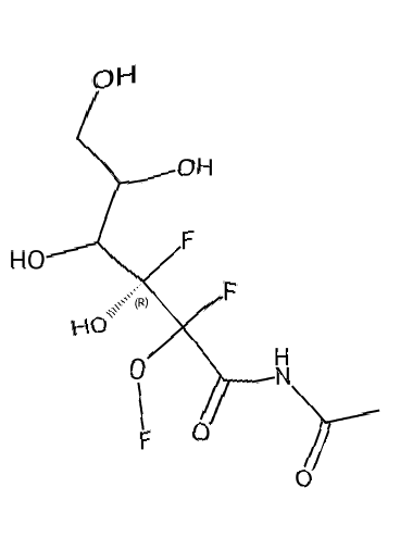 CC(=O)NC(=O)C(F)(OF)[C@](O)(F)C(O)C(O)CO